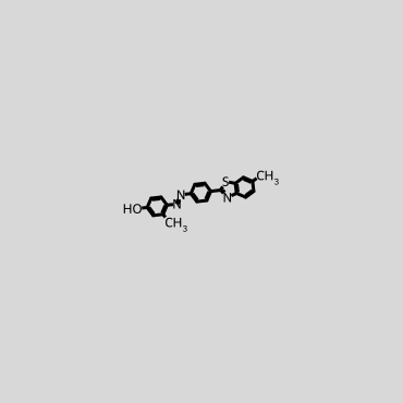 Cc1ccc2nc(-c3ccc(/N=N/c4ccc(O)cc4C)cc3)sc2c1